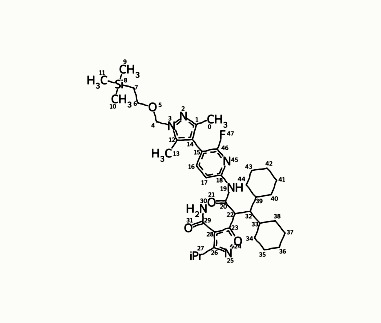 Cc1nn(COCC[Si](C)(C)C)c(C)c1-c1ccc(NC(=O)C(c2onc(C(C)C)c2C(N)=O)C(C2CCCCC2)C2CCCCC2)nc1F